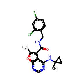 Cc1oc2ncnc(NC3(C)CC3)c2c1C(=O)NCc1ccc(F)cc1Cl